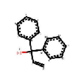 C=CC(O)(c1ccccc1)c1ccccc1